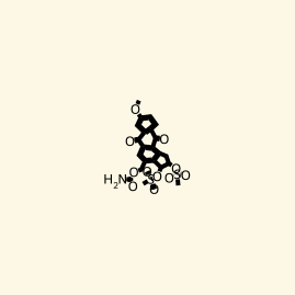 COc1ccc2c(c1)C(=O)c1cc(COC(N)=O)c3c(c1C2=O)CC(OS(C)(=O)=O)C3OS(C)(=O)=O